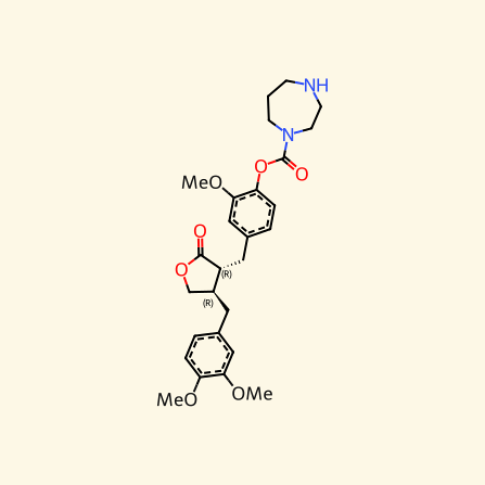 COc1ccc(C[C@H]2COC(=O)[C@@H]2Cc2ccc(OC(=O)N3CCCNCC3)c(OC)c2)cc1OC